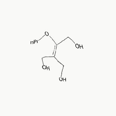 CCCOC(CO)=C(CO)CO